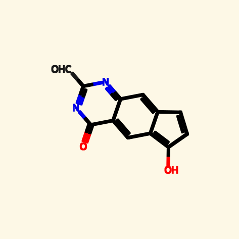 O=CC1=NC(=O)c2cc3c(cc2=N1)C=CC=3O